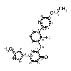 CCOc1cnc(-c2cccc(Cc3nn(-c4cnn(C)c4)ccc3=O)c2F)nc1